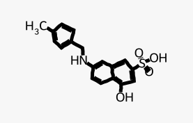 Cc1ccc(CNc2ccc3c(O)cc(S(=O)(=O)O)cc3c2)cc1